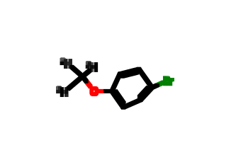 [2H]C([2H])([2H])Oc1ccc(Br)cc1